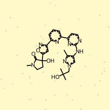 Cc1nn(CC(C)(C)O)cc1Nc1nccc(-c2cccc(-c3cc(C4(O)CCN(C)C4=O)on3)n2)n1